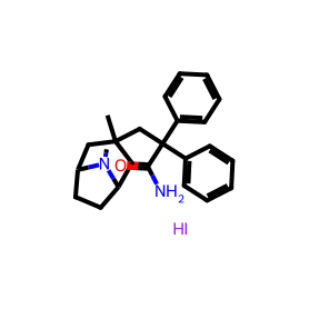 CN1C2CCC1CC(C)(CC(C(N)=O)(c1ccccc1)c1ccccc1)C2.I